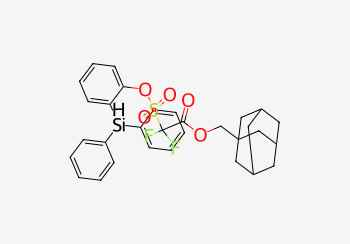 O=C(OCC12CC3CC(CC(C3)C1)C2)C(F)(F)S(=O)(=O)Oc1ccccc1[SiH](c1ccccc1)c1ccccc1